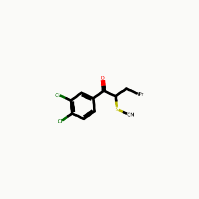 CC(C)CC(SC#N)C(=O)c1ccc(Cl)c(Cl)c1